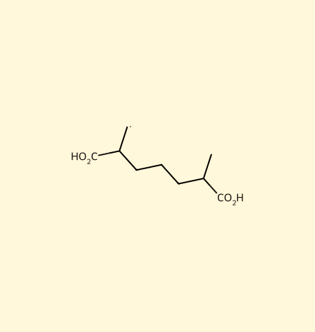 [CH2]C(CCCC(C)C(=O)O)C(=O)O